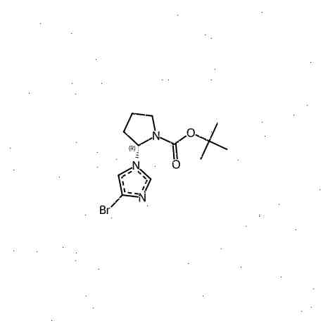 CC(C)(C)OC(=O)N1CCC[C@H]1n1cnc(Br)c1